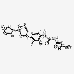 Cc1c(Oc2ccnc(-c3cnn(C)c3)c2)ccc(NC(=O)Nc2cc(C(C)C)no2)c1F